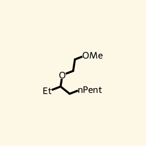 [CH2]CC(CCCCCC)OCCOC